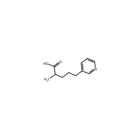 CC(CCCc1cccnc1)C(=O)O